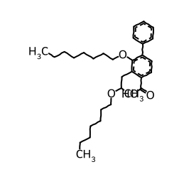 CCCCCCCCOc1c(-c2ccccc2)ccc(C(=O)O)c1CC(C)OCCCCCCC